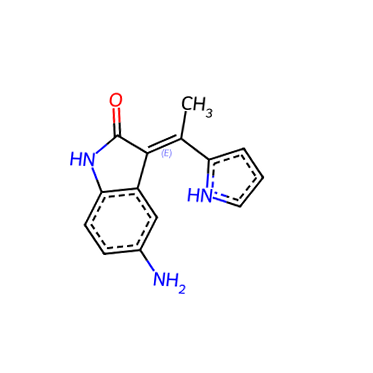 C/C(=C1\C(=O)Nc2ccc(N)cc21)c1ccc[nH]1